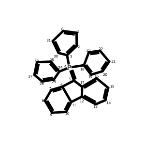 c1ccc(P(=C2c3ccccc3-c3ccccc32)(c2ccccc2)c2ccccc2)cc1